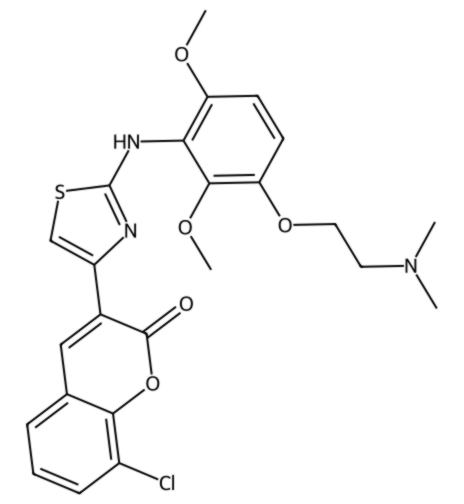 COc1ccc(OCCN(C)C)c(OC)c1Nc1nc(-c2cc3cccc(Cl)c3oc2=O)cs1